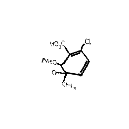 COC1C(C(=O)O)=C(Cl)C=CC1(C)Cl